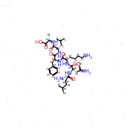 CC(C)C[C@H](NC(=O)[C@H](Cc1ccccc1)NC(=O)[C@H](CCCCN)NC(=O)[C@H](CC(N)=O)NC(=O)[C@@H](N)CC(C)C)C(=O)N[C@@H](C)C(=O)O